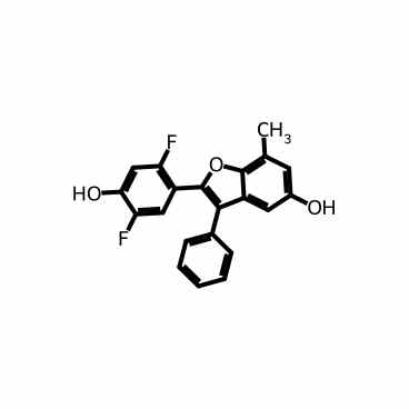 Cc1cc(O)cc2c(-c3ccccc3)c(-c3cc(F)c(O)cc3F)oc12